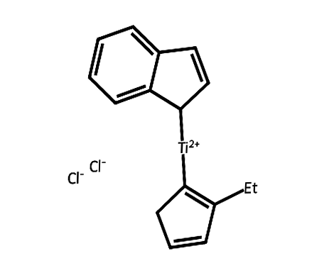 CCC1=[C]([Ti+2][CH]2C=Cc3ccccc32)CC=C1.[Cl-].[Cl-]